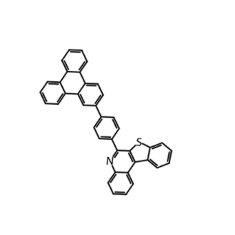 c1ccc2c(c1)nc(-c1ccc(-c3ccc4c5ccccc5c5ccccc5c4c3)cc1)c1sc3ccccc3c12